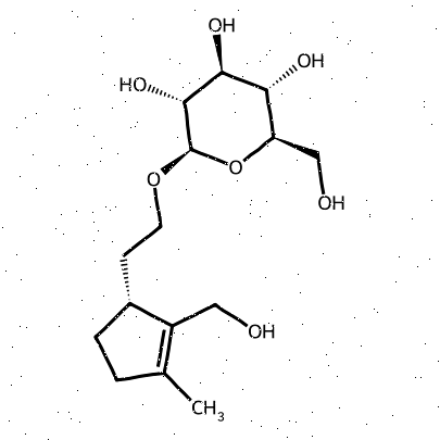 CC1=C(CO)[C@@H](CCO[C@@H]2O[C@H](CO)[C@@H](O)[C@H](O)[C@H]2O)CC1